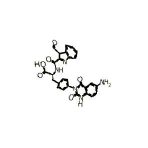 Nc1ccc2[nH]c(=O)n(-c3ccc(C[C@H](NC(=O)C4=Nc5ccccc5C4C=O)C(=O)O)cc3)c(=O)c2c1